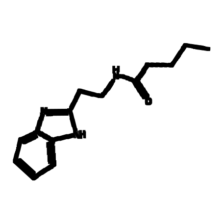 CCCCC(=O)NCCc1nc2ccccc2[nH]1